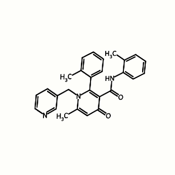 Cc1ccccc1NC(=O)c1c(-c2ccccc2C)n(Cc2cccnc2)c(C)cc1=O